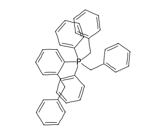 c1ccc(Cc2ccccc2P(Cc2ccccc2)(Cc2ccccc2)(c2ccccc2)c2ccccc2)cc1